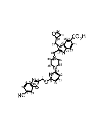 N#Cc1ccc2nc(COc3cccc(N4CCN(Cc5nc6ccc(C(=O)O)cc6n5CC5CCO5)CC4)n3)sc2c1